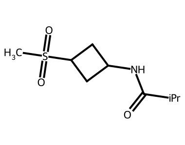 CC(C)C(=O)NC1CC(S(C)(=O)=O)C1